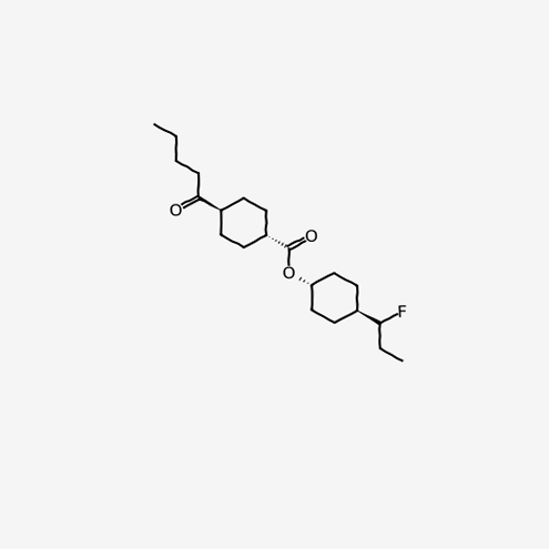 CCCCC(=O)[C@H]1CC[C@H](C(=O)O[C@H]2CC[C@H](C(F)CC)CC2)CC1